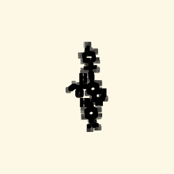 C=CC(=O)Nc1cc2c(Nc3ccc(N(C)C)cc3)ncnc2cc1C#CC(C)(C)N1CCN(C)CC1